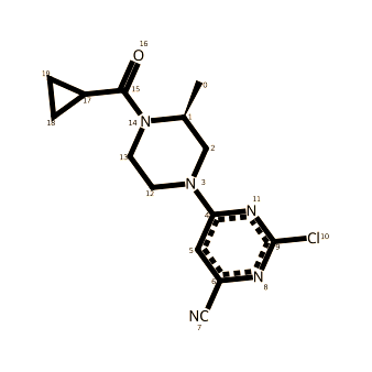 C[C@H]1CN(c2cc(C#N)nc(Cl)n2)CCN1C(=O)C1CC1